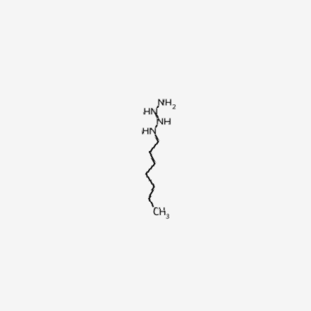 CCCCCCCNNNN